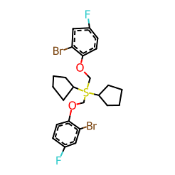 Fc1ccc(OCS(COc2ccc(F)cc2Br)(C2CCCC2)C2CCCC2)c(Br)c1